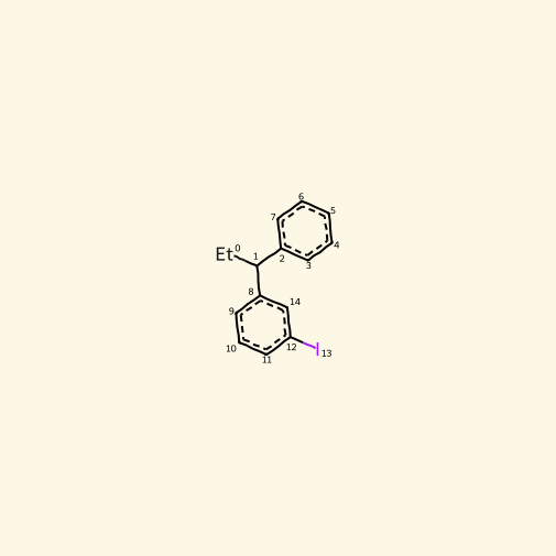 CCC(c1ccccc1)c1cccc(I)c1